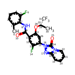 Cc1cccc(F)c1NC(=O)c1cc(F)c(-n2nc3ccccn3c2=O)cc1O[C@@H](C)C(F)(F)F